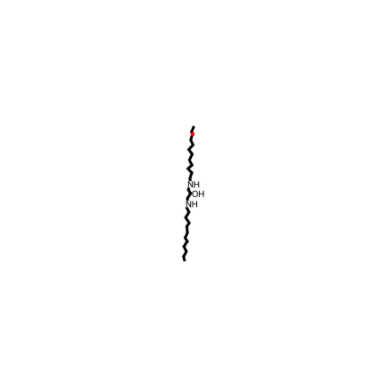 CCCCCCCCCCCCNCC(O)CNCCCCCCCCCCCC